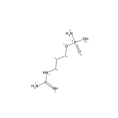 N=C(N)NCCCOP(N)(=O)O